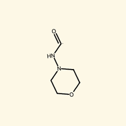 O=[C]NN1CCOCC1